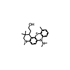 Cc1cccc2c1Sc1c(ccc3c1C(CCO)C(C)(C)CN3C)N2N(C)C